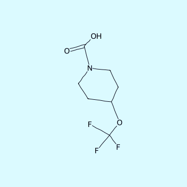 O=C(O)N1CCC(OC(F)(F)F)CC1